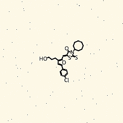 O=C1/C(=C/c2oc(-c3ccc(Cl)cc3)cc2CCCO)SC(=S)N1C1CCCCCCC1